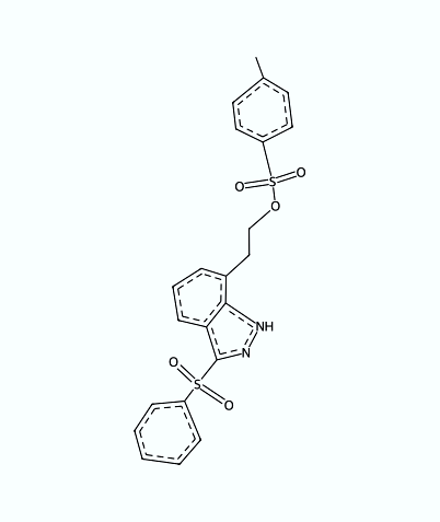 Cc1ccc(S(=O)(=O)OCCc2cccc3c(S(=O)(=O)c4ccccc4)n[nH]c23)cc1